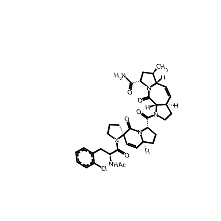 CC(=O)N[C@@H](Cc1ccccc1Cl)C(=O)N1CCC[C@]12C=C[C@@H]1CC[C@@H](C(=O)N3CC[C@@H]4C=C[C@H]5[C@H](C)C[C@@H](C(N)=O)N5C(=O)[C@H]43)N1C2=O